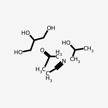 CC#N.CC(C)=O.CC(C)O.OCC(O)CO